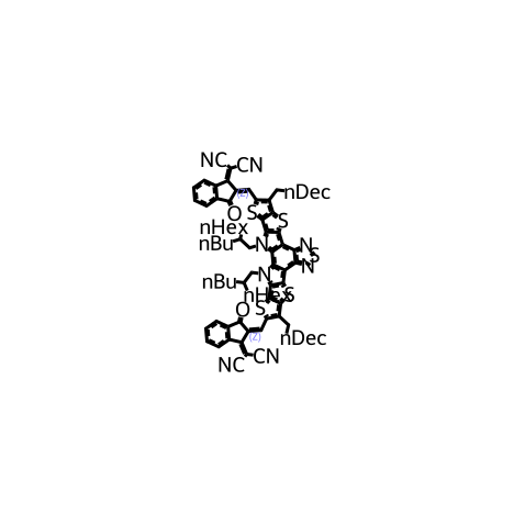 CCCCCCCCCCCc1c(/C=C2\C(=O)c3ccccc3C2=C(C#N)C#N)sc2c1sc1c3c4nsnc4c4c5sc6c(CCCCCCCCCCC)c(/C=C7\C(=O)c8ccccc8C7=C(C#N)C#N)sc6c5n(CC(CCCC)CCCCCC)c4c3n(CC(CCCC)CCCCCC)c21